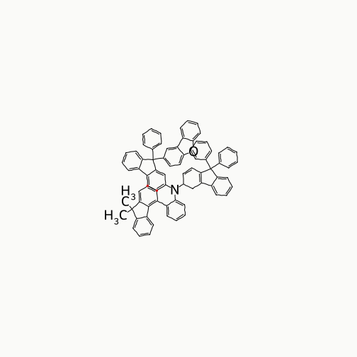 CC1(C)c2ccccc2-c2c(-c3ccccc3N(c3ccc4c(c3)C(c3ccccc3)(c3ccc5oc6ccccc6c5c3)c3ccccc3-4)C3C=CC4=C(C3)c3ccccc3C4(c3ccccc3)c3ccccc3)cccc21